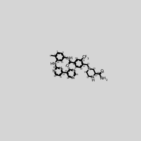 Cc1ccc(NC(=O)c2ccc(CN3CCNC(C(N)=O)C3)c(C(F)(F)F)c2)cc1Nc1nccc(-c2cncnc2)n1